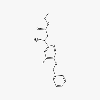 CCOC(=O)C[C@H](N)c1ccc(OCc2ccccc2)c(F)c1